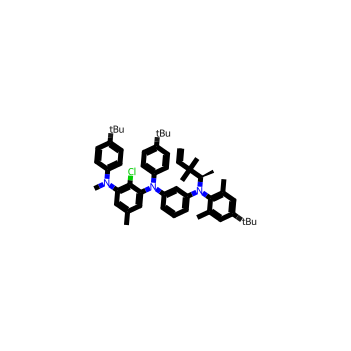 C=CC(C)(C)[C@@H](C)N(c1cccc(N(c2ccc(C(C)(C)C)cc2)c2cc(C)cc(N(C)c3ccc(C(C)(C)C)cc3)c2Cl)c1)c1c(C)cc(C(C)(C)C)cc1C